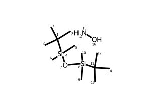 CC(C)(C)[Si](C)(C)O[Si](C)(C)C(C)(C)C.NO